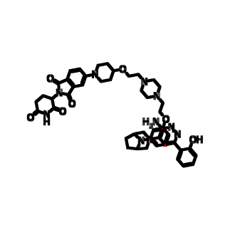 Nc1nnc(-c2ccccc2O)cc1N1CC2CCC(C1)N2c1cccc(OCCN2CCN(CCOC3CCN(c4ccc5c(c4)C(=O)N(C4CCC(=O)NC4=O)C5=O)CC3)CC2)c1